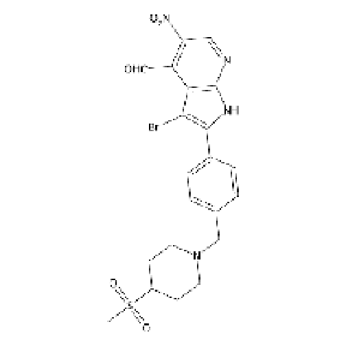 CS(=O)(=O)C1CCN(Cc2ccc(-c3[nH]c4ncc([N+](=O)[O-])c(C=O)c4c3Br)cc2)CC1